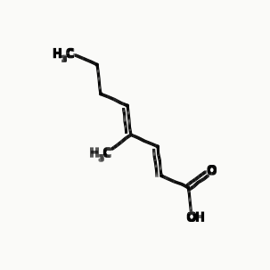 CCC/C=C(C)/C=C/C(=O)O